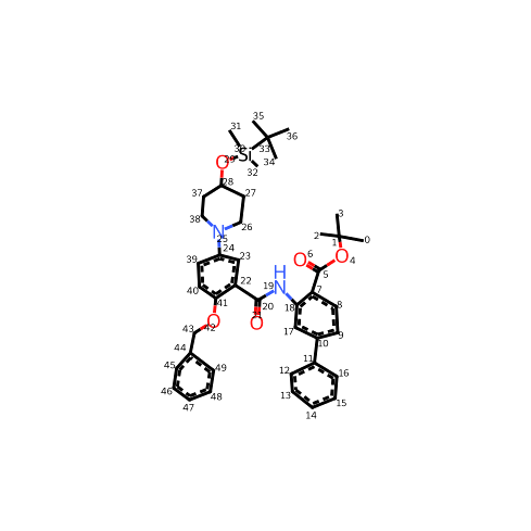 CC(C)(C)OC(=O)c1ccc(-c2ccccc2)cc1NC(=O)c1cc(N2CCC(O[Si](C)(C)C(C)(C)C)CC2)ccc1OCc1ccccc1